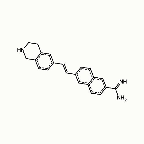 N=C(N)c1ccc2cc(/C=C/c3ccc4c(c3)CCNC4)ccc2c1